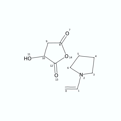 C=CN1CCCC1.O=C1CC(O)C(=O)O1